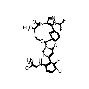 CC1CCCC(n2cnc(-c3c(N/C=C(\N)Cl)ccc(Cl)c3F)cc2=O)c2cccc(c2)-c2c(cnn2C(F)F)NC1=O